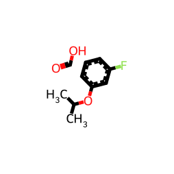 CC(C)Oc1cccc(F)c1.O=CO